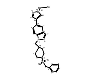 O=S(=O)(Cc1ccccc1)N1CCC(Cn2ncc3cc(-c4cnn(PI)c4)ccc32)CC1